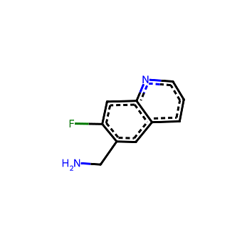 NCc1cc2cccnc2cc1F